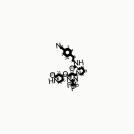 N#Cc1ccc(CCNC(=O)[C@@H]2CCCN2c2cc(OC3=CC(=O)NCC3)nc(C(F)(F)F)n2)cc1